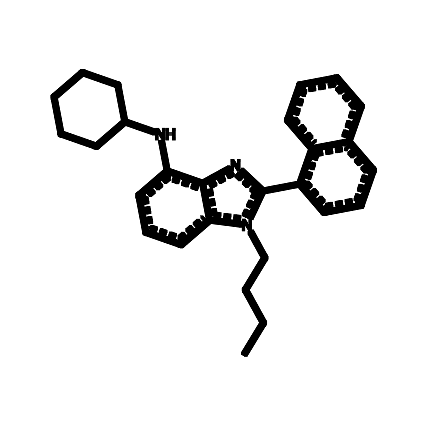 CCCCn1c(-c2cccc3ccccc23)nc2c(NC3CCCCC3)cccc21